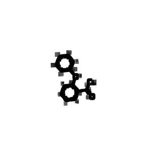 O=[C]([Cu])c1ccccc1Oc1ccccc1